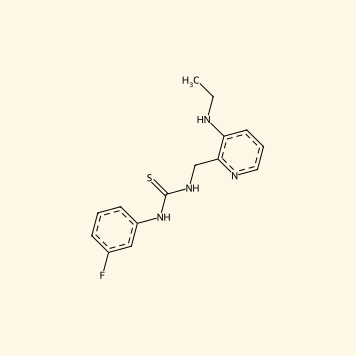 CCNc1cccnc1CNC(=S)Nc1cccc(F)c1